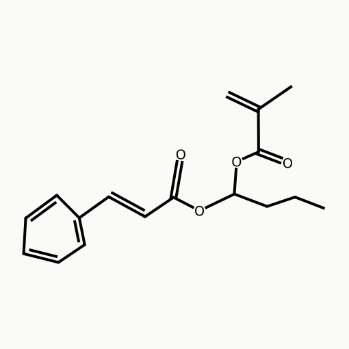 C=C(C)C(=O)OC(CCC)OC(=O)/C=C/c1ccccc1